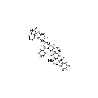 Cc1nc2cnccc2n1CC1CCN(C(=O)C=C(c2ccccc2)c2ccc(/N=N\c3ccc(O)c(C(O)C(=O)c4ccccc4)c3)cc2)CC1